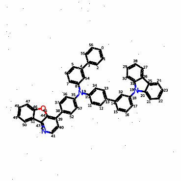 c1ccc(-c2cccc(N(c3ccc(-c4cccc(-n5c6ccccc6c6ccccc65)c4)cc3)c3ccc(-c4ccnc5c4oc4ccccc45)cc3)c2)cc1